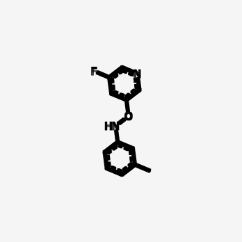 Cc1cccc(NOc2cncc(F)c2)c1